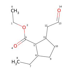 CCOC(=O)C1C(CC)CCC1CC=O